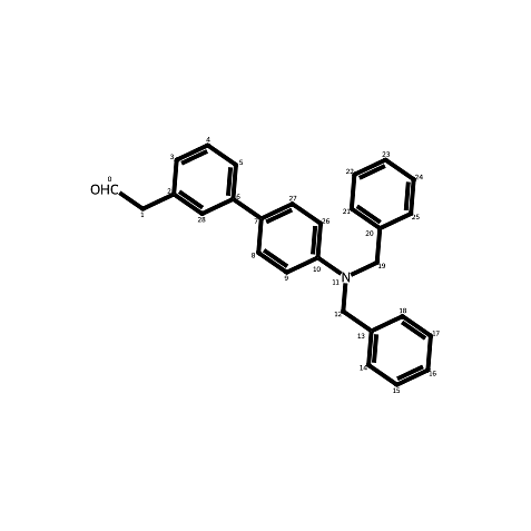 O=CCc1cccc(-c2ccc(N(Cc3ccccc3)Cc3ccccc3)cc2)c1